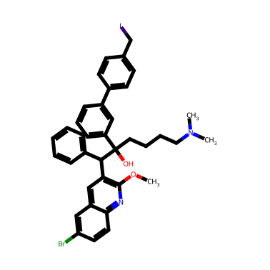 COc1nc2ccc(Br)cc2cc1C(c1ccccc1)C(O)(CCCCN(C)C)c1cccc(-c2ccc(CI)cc2)c1